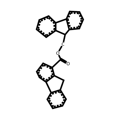 O=C(OCC1c2ccccc2-c2ccccc21)c1cccc2c1Cc1ccccc1-2